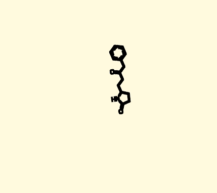 O=C(CCC1CCC(=O)N1)Cc1ccccc1